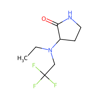 CCN(CC(F)(F)F)C1CCNC1=O